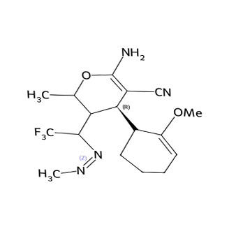 C/N=N\C(C1C(C)OC(N)=C(C#N)[C@H]1C1CCCC=C1OC)C(F)(F)F